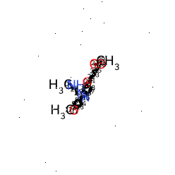 CNCCCn1c(-c2ccc(OC)cc2)nc2ccc(OCCCCCC(=O)OC)cc21